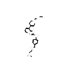 CCOC(=O)N1CC=C(c2cccn3nc(Nc4ccc(C(=O)NCCN(C)C)cc4)nc23)CC1